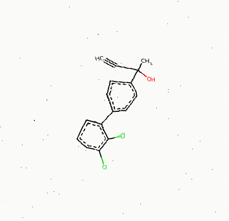 C#CC(C)(O)c1ccc(-c2cccc(Cl)c2Cl)cc1